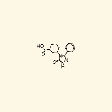 O=C(O)C1CCCC(n2c(-c3ccccc3)n[nH]c2=S)C1